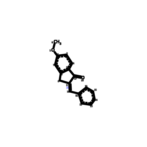 COc1ccc2c(c1)C/C(=C/c1ccccc1)C2=O